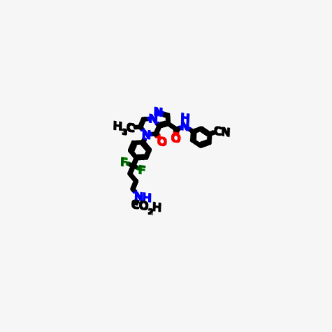 CC1Cn2ncc(C(=O)Nc3cccc(C#N)c3)c2C(=O)N1c1ccc(C(F)(F)CCCNC(=O)O)cc1